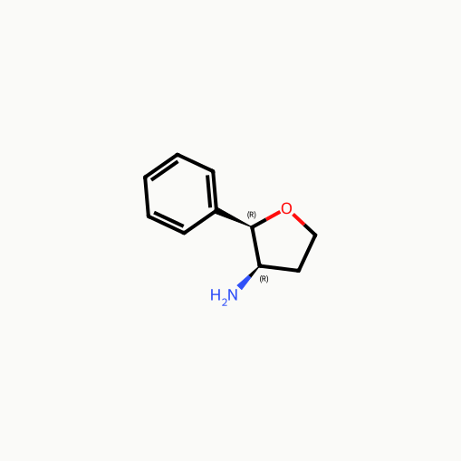 N[C@@H]1CCO[C@@H]1c1ccccc1